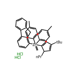 Cl.Cl.[CH2]=[Zr]([C]1=CC(C(C)(C)C)=CC1CCC)([c]1ccc(C)cc1)([c]1ccc(C)cc1)[c]1cccc2c1Cc1ccccc1-2